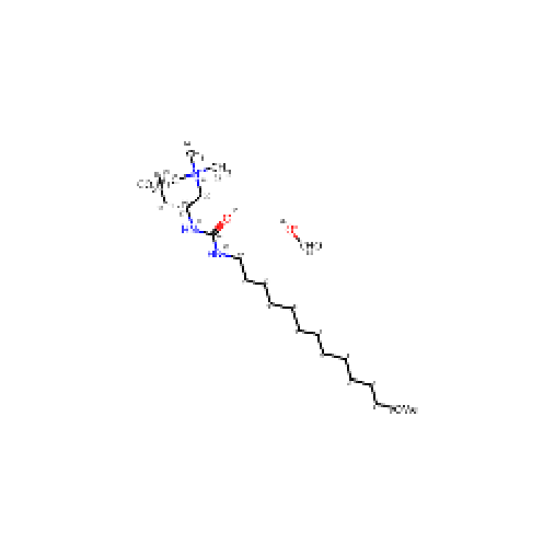 COCCCCCCCCCCCCNC(=O)N[C@H](CC(=O)O)C[N+](C)(C)C.O=C[O-]